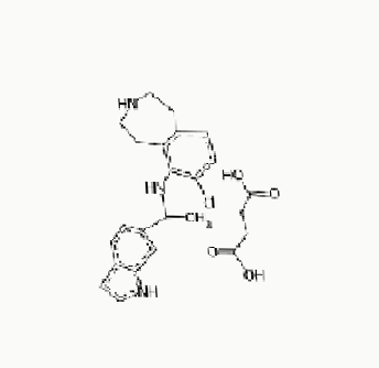 CC(Nc1c(Cl)ccc2c1CCNCC2)c1ccc2cc[nH]c2c1.O=C(O)CCC(=O)O